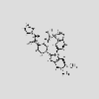 Cc1cc2nc(N3CCC(C(=O)NC4CCOC4)CC3)n(-c3cccc(C(C)(C)C)c3)c2cc1C